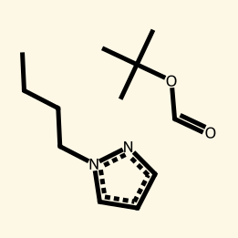 CC(C)(C)OC=O.CCCCn1cccn1